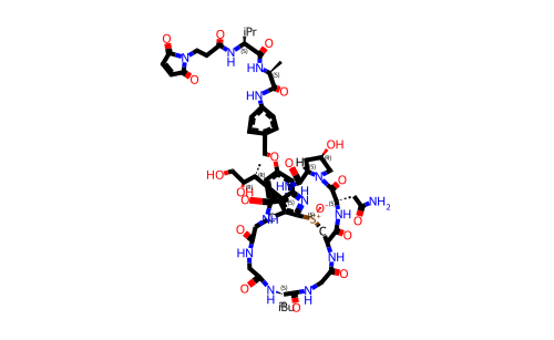 CC[C@H](C)[C@@H]1NC(=O)CNC(=O)C2Cc3c([nH]c4cc(OCc5ccc(NC(=O)[C@H](C)NC(=O)[C@@H](NC(=O)CCN6C(=O)C=CC6=O)C(C)C)cc5)ccc34)[S@+]([O-])CC(NC(=O)CNC1=O)C(=O)N[C@@H](CC(N)=O)C(=O)N1C[C@H](O)C[C@H]1C(=O)N[C@@H]([C@@H](C)[C@@H](O)CO)C(=O)N2